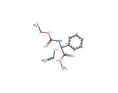 C=CC[C@@](NC(=O)OCC)(C(=O)OC)c1ccccc1